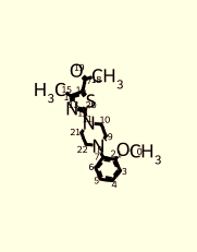 COc1ccccc1N1[CH]CN(c2nc(C)c(C(C)=O)s2)CC1